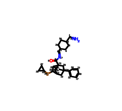 NCC1CCC(/C=N/C(=O)C23CC4CC(c5ccccc5)(CC2C4SC2CC2)C3)CC1